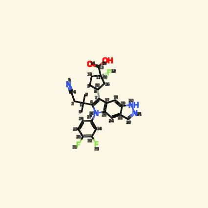 CC(C)(CC#N)c1c([C@@H]2CC[C@@](F)(C(=O)O)C2)c2cc3[nH]ncc3cc2n1-c1ccc(F)c(F)c1